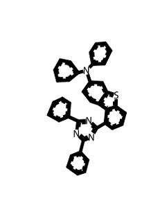 c1ccc(-c2nc(-c3ccccc3)nc(-c3cccc4sc5cc(N(c6ccccc6)c6ccccc6)ccc5c34)n2)cc1